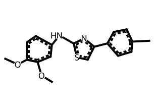 COc1ccc(Nc2nc(-c3ccc(C)cc3)cs2)cc1OC